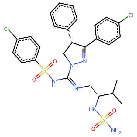 CC(C)[C@@H](C/N=C(/NS(=O)(=O)c1ccc(Cl)cc1)N1C[C@H](c2ccccc2)C(c2ccc(Cl)cc2)=N1)NS(N)(=O)=O